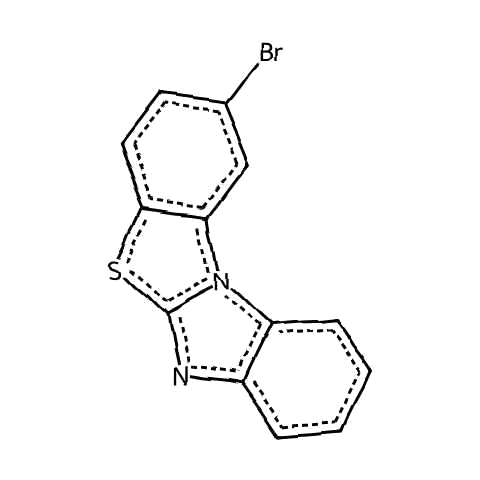 Brc1ccc2sc3nc4ccccc4n3c2c1